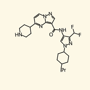 CC(C)C1CCC(n2cc(NC(=O)c3cnn4ccc(C5CCNCC5)nc34)c(C(F)F)n2)CC1